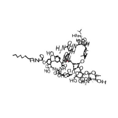 CCCCCCCCNC(=O)Oc1cc(C)c2c(c1)[C@@H](C(=O)O)NC(=O)[C@H]1NC(=O)[C@H](NC(=O)[C@@H]3NC(=O)[C@H](CC(N)=O)NC(=O)[C@H](NC(=O)[C@@H](CC(C)C)NC)[C@H](O)c4ccc(c(C)c4)Oc4cc3cc(c4O[C@@H]3O[C@H](CO)[C@@H](O)[C@H](O)[C@H]3O[C@H]3C[C@](C)(N)[C@H](O)[C@H](C)O3)Oc3ccc(cc3Cl)[C@H]1O)c1ccc(O)c-2c1